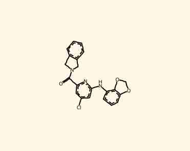 O=C(c1cc(Cl)cc(Nc2cccc3c2OCO3)n1)N1Cc2ccccc2C1